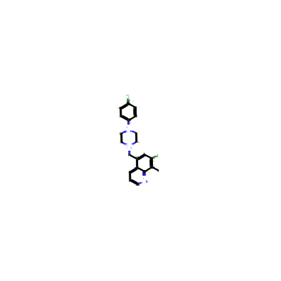 Cc1c(Br)cc(CN2CCN(c3ccc(Br)cc3)CC2)c2cccnc12